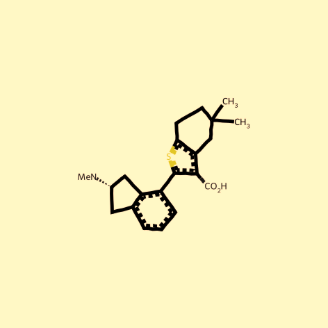 CN[C@H]1Cc2cccc(-c3sc4c(c3C(=O)O)CC(C)(C)CC4)c2C1